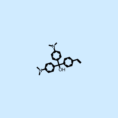 C=Cc1ccc(C(O)(c2ccc(N(C)C)cc2)c2ccc(N(C)C)cc2)cc1